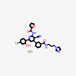 Cl.N#Cc1c(-c2cccc(C(=O)NCCCn3ccnc3)c2)cc(-c2ccc(Cl)cc2O)nc1NC(=O)c1ccco1